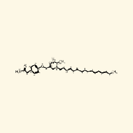 CCCCCCCCCCCCCCCCN(CC(O)COc1ccc(CC(N)=O)cc1)C(C)C